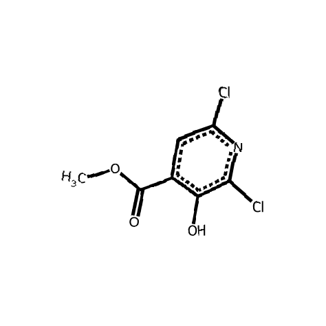 COC(=O)c1cc(Cl)nc(Cl)c1O